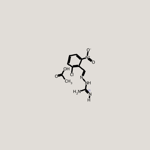 CC(=O)O.[H]/N=C(\N)NN=Cc1c(Cl)cccc1[N+](=O)[O-]